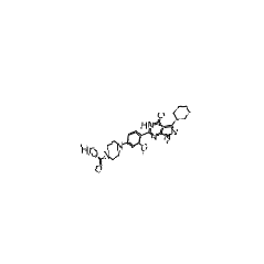 COc1cc(N2CCN(C(=O)O)CC2)ccc1-c1nc2c(c(C3CCCCC3)nn2C)c(=O)[nH]1